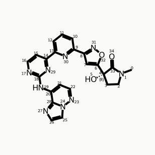 CN1CC[C@@](O)(c2cc(-c3cccc(-c4ccnc(Nc5ccnn6ccnc56)n4)n3)no2)C1=O